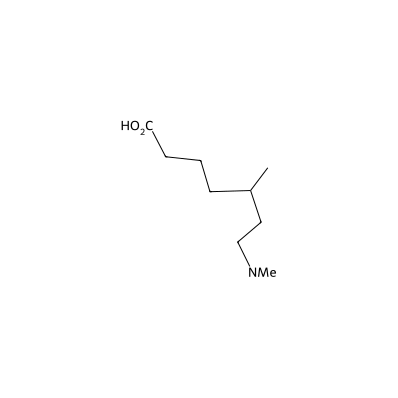 CNCCC(C)CCCC(=O)O